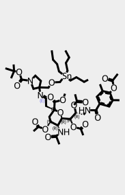 CCC[CH2][Sn]([CH2]CCC)([CH2]CCC)[CH2]OCC1(/N=C/C[C@]2(C(=O)OC)C[C@H](OC(C)=O)[C@@H](NC(C)=O)[C@H]([C@H](OC(C)=O)[C@@H](CNC(=O)c3cc(C)c(OC(C)=O)c(C)c3)OC(C)=O)O2)CCN(C(=O)OC(C)(C)C)C1